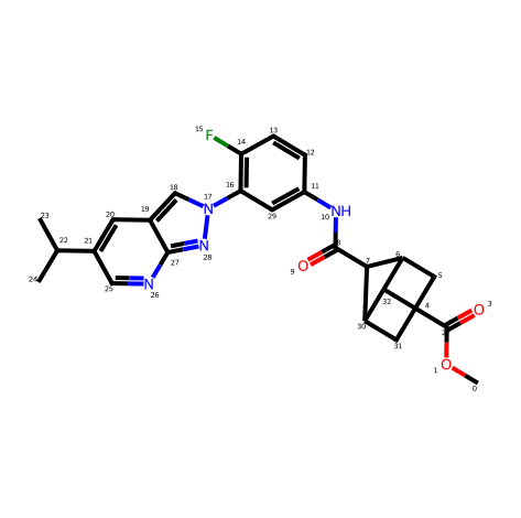 COC(=O)C12CC3C(C(=O)Nc4ccc(F)c(-n5cc6cc(C(C)C)cnc6n5)c4)C(C1)C32